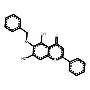 O=c1cc(-c2ccccc2)oc2cc(O)c(OCc3ccccc3)c(O)c12